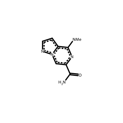 CNc1nc(C(N)=O)cn2nccc12